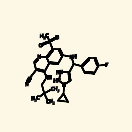 CC(C)(C)CNc1c(C#N)cnc2c(S(C)(=O)=O)cc(NC(C3=CN(C4CC4)NN3)c3ccc(F)cc3)cc12